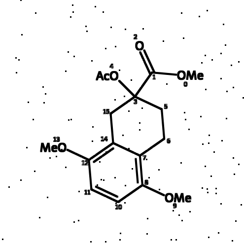 COC(=O)C1(OC(C)=O)CCc2c(OC)ccc(OC)c2C1